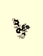 Cc1ccc(NC(=O)c2ccc(Cl)nc2)cc1-c1nc(NC(CO)CO)nc2c1ccc(=O)n2-c1c(F)cccc1F